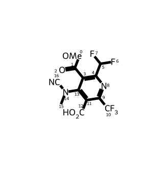 COC(=O)c1c(C(F)F)nc(C(F)(F)F)c(C(=O)O)c1N(C)C#N